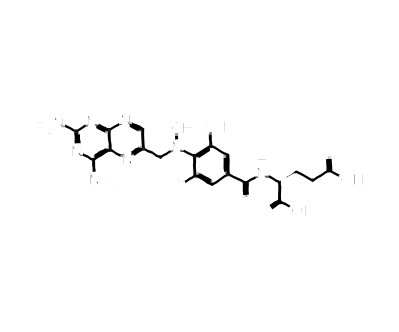 Cc1cc(C(=O)N[C@@H](CCC(=O)O)C(=O)O)cc(C)c1N(C)Cc1cnc2nc(N)nc(N)c2n1